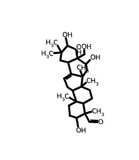 CC1(C)CC2C3=CCC4C5(C)CCC(O)C(C)(C=O)C5CCC4(C)C3(C)CC(O)C2(CO)C(O)C1O